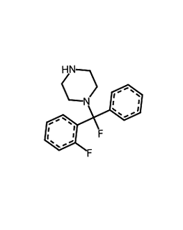 Fc1ccccc1C(F)(c1ccccc1)N1CCNCC1